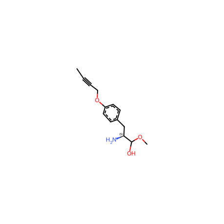 CC#CCOc1ccc(C[C@H](N)C(O)OC)cc1